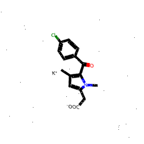 Cc1cc(CC(=O)[O-])n(C)c1C(=O)c1ccc(Cl)cc1.[K+]